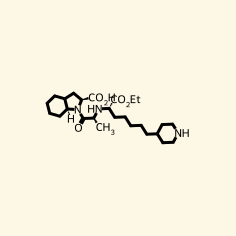 CCOC(=O)[C@H](CCCCCC1CCNCC1)N[C@@H](C)C(=O)N1[C@H](C(=O)O)CC2CCCC[C@@H]21